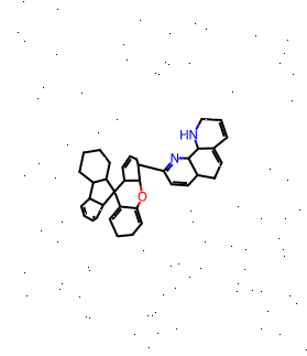 C1=CC2C3CCCCC3C3(C4=CCCC=C4OC4C(C5=NC6C(C=C5)CC=C5C=CCNC56)CC=CC43)C2C=C1